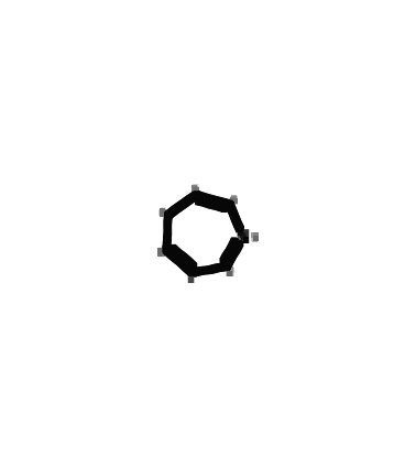 [C]1=CC=NC=CC1